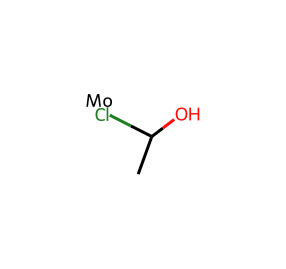 CC(O)Cl.[Mo]